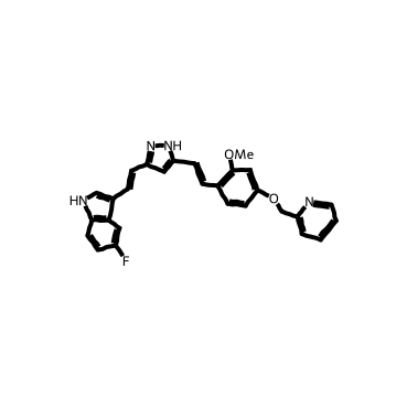 COc1cc(OCc2ccccn2)ccc1C=Cc1cc(C=Cc2c[nH]c3ccc(F)cc23)n[nH]1